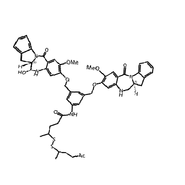 COc1cc2c(cc1OCc1cc(COc3cc4c(cc3OC)C(=O)N3c5ccccc5C[C@H]3C(O)N4)cc(NC(=O)CCC(C)SSC(C)CCC(C)=O)c1)NC[C@@H]1Cc3ccccc3N1C2=O